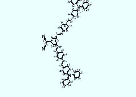 N#CC(C#N)=C1C=C(C=Cc2ccc(C=Cc3ccc(N(c4ccccc4)c4ccccc4)cc3)cc2)OC(C=Cc2ccc(C=Cc3ccc(N(c4ccccc4)c4ccccc4)cc3)cc2)=C1